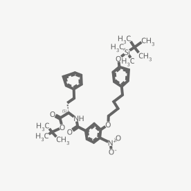 CC(C)(C)OC(=O)[C@H](CCc1ccccc1)NC(=O)c1ccc([N+](=O)[O-])c(OCCCCc2ccc(O[Si](C)(C)C(C)(C)C)cc2)c1